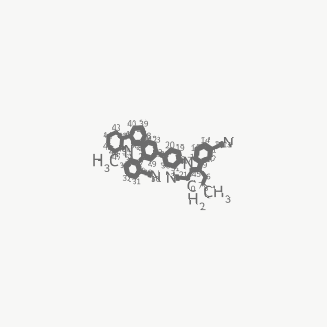 C=C(C#N)c1c(CCC)c2cc(C#N)ccc2n1-c1ccc(-c2cccc(-c3c(C#N)cccc3N3c4ccccc4C4CCCC(C)C43)c2)cc1